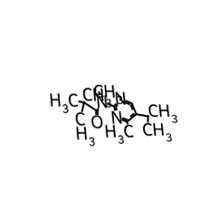 Cc1nc(N(C)C(=O)C(C)(C)C)ncc1C(C)C